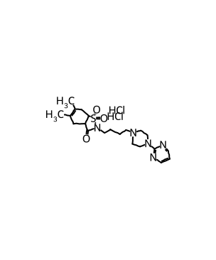 CC1=C(C)CC2C(C1)C(=O)N(CCCCN1CCN(c3ncccn3)CC1)S2(=O)=O.Cl.Cl